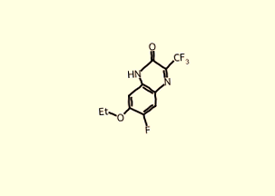 CCOc1cc2[nH]c(=O)c(C(F)(F)F)nc2cc1F